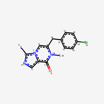 O=c1c2cnc(I)n2cc(Cc2ccc(Br)cc2)n1I